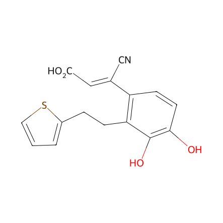 N#CC(=CC(=O)O)c1ccc(O)c(O)c1CCc1cccs1